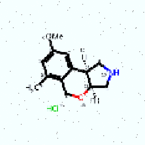 COc1cc(C)c2c(c1)[C@H]1CNC[C@H]1OC2.Cl